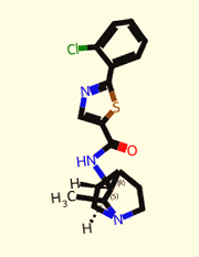 C[C@H]1[C@H](NC(=O)c2cnc(-c3ccccc3Cl)s2)C2CCN1CC2